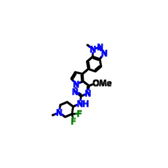 COc1nc(NC2CCN(C)CC2(F)F)nn2ccc(-c3ccc4nnn(C)c4c3)c12